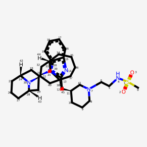 CS(=O)(=O)NCCN1CCC[C@@H](Cc2nc3ccccc3n2[C@@H]2C[C@H]3CCC[C@@H](C2)N3[C@H]2C[C@@H]3CCCC[C@@H](C3)C2)C1